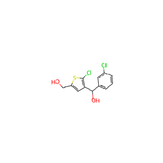 OCc1cc(C(O)c2cccc(Cl)c2)c(Cl)s1